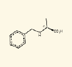 C[C@H](NCc1ccncc1)C(=O)O